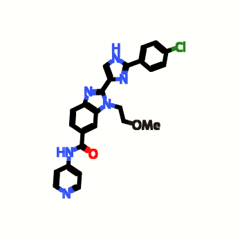 COCCn1c(-c2c[nH]c(-c3ccc(Cl)cc3)n2)nc2ccc(C(=O)Nc3ccncc3)cc21